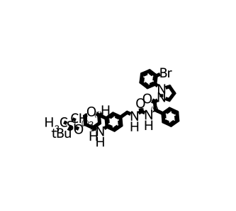 CC(C)(C)[Si](C)(C)O[C@@H]1CO[C@H]2C[C@@H]1Nc1ccc(CNC(=O)N[C@H](C(=O)N3CCCN3c3ccccc3Br)c3ccccc3)cc12